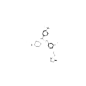 COc1cc(CN(C[C@H]2CC[C@H](C(=O)O)CC2)C(C)c2ccc(C(F)(F)F)cc2)ccc1OCCN1C(=O)CCC1=O